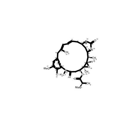 CN[C@H](C)C(=O)O[C@H]1CC(=O)N(C)c2cc(cc(OC)c2Cl)C/C(C)=C/C=C/C[C@@]2(O)C[C@H](OC(=O)N2)[C@@H](C)[C@@H]2O[C@@]12C